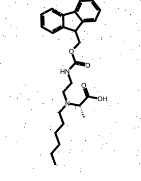 CCCCCCN(CCNC(=O)OCC1c2ccccc2-c2ccccc21)[C@@H](C)C(=O)O